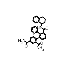 NC(=O)c1ccc(-c2cccc(C(=O)NC3CCCc4ccccc43)c2-c2ccccn2)c(C(N)=O)c1